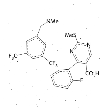 CNCc1cc(C(F)(F)F)cc(C(F)(F)F)c1.CSc1ncc(C(=O)O)c(-c2ccccc2F)n1